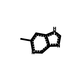 Cc1cc2[nH]cnc2cn1